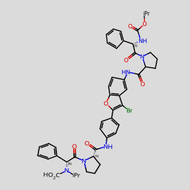 CC(C)OC(=O)N[C@H](C(=O)N1CCCC1C(=O)Nc1ccc2oc(-c3ccc(NC(=O)[C@@H]4CCCN4C(=O)[C@@H](c4ccccc4)N(C(=O)O)C(C)C)cc3)c(Br)c2c1)c1ccccc1